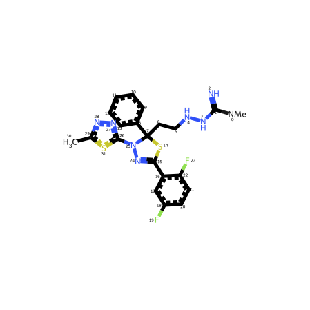 CNC(=N)NNCCC1(c2ccccc2)SC(c2cc(F)ccc2F)=NN1c1nnc(C)s1